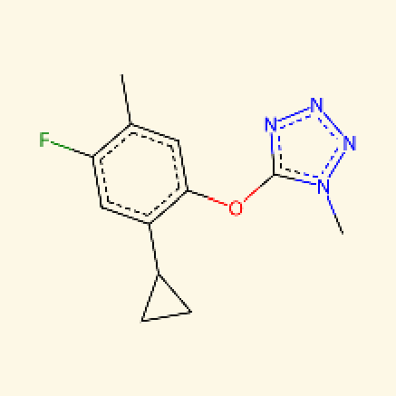 Cc1cc(Oc2nnnn2C)c(C2CC2)cc1F